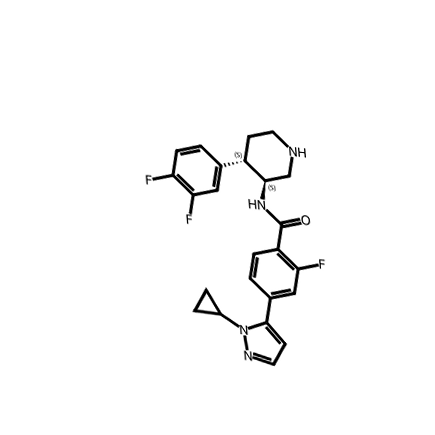 O=C(N[C@@H]1CNCC[C@H]1c1ccc(F)c(F)c1)c1ccc(-c2ccnn2C2CC2)cc1F